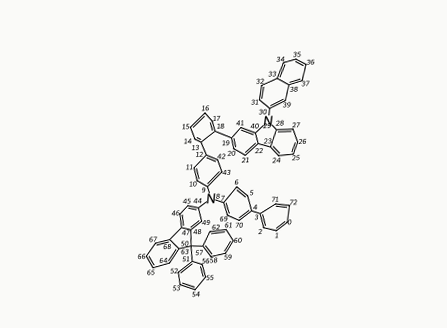 c1ccc(-c2ccc(N(c3ccc(-c4ccccc4-c4ccc5c6ccccc6n(-c6ccc7ccccc7c6)c5c4)cc3)c3ccc4c(c3)C(c3ccccc3)(c3ccccc3)c3ccccc3-4)cc2)cc1